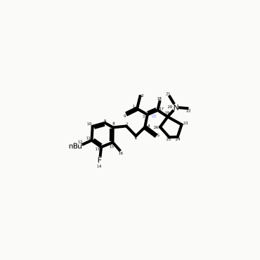 C=C(C)/C(C(=C)CCc1ccc(CCCC)c(F)c1C)=C(\C)C1(N(C)C)CCCC1